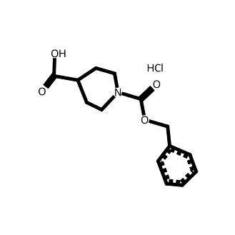 Cl.O=C(O)C1CCN(C(=O)OCc2ccccc2)CC1